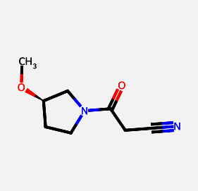 CO[C@@H]1CCN(C(=O)CC#N)C1